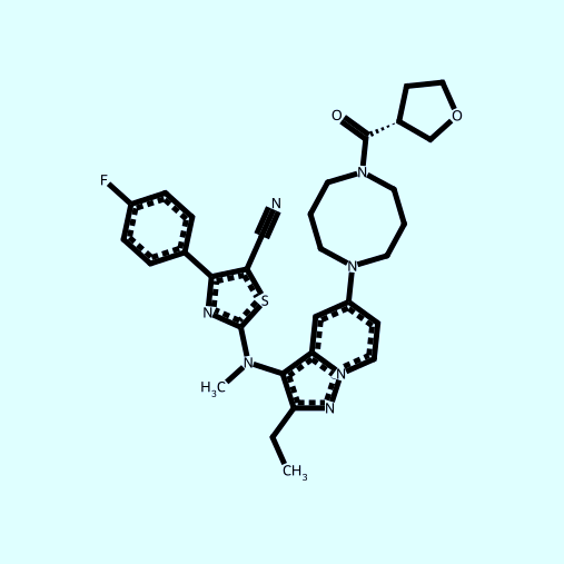 CCc1nn2ccc(N3CCCN(C(=O)[C@@H]4CCOC4)CCC3)cc2c1N(C)c1nc(-c2ccc(F)cc2)c(C#N)s1